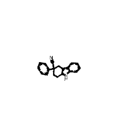 N#CC1(c2ccccc2)CCc2[nH]c3ccccc3c2C1